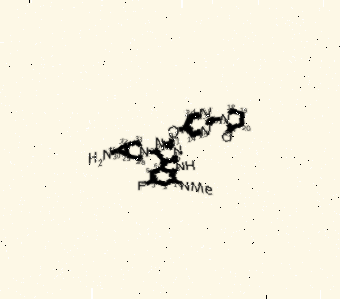 CNc1cc(F)cc2c1[nH]c1nc(Oc3cnc(N4CCCC4=O)nc3)nc(N3CC4C(N)C4C3)c12